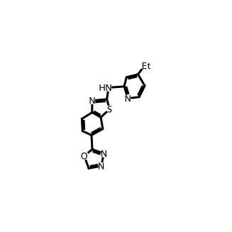 CCc1ccnc(Nc2nc3ccc(-c4nnco4)cc3s2)c1